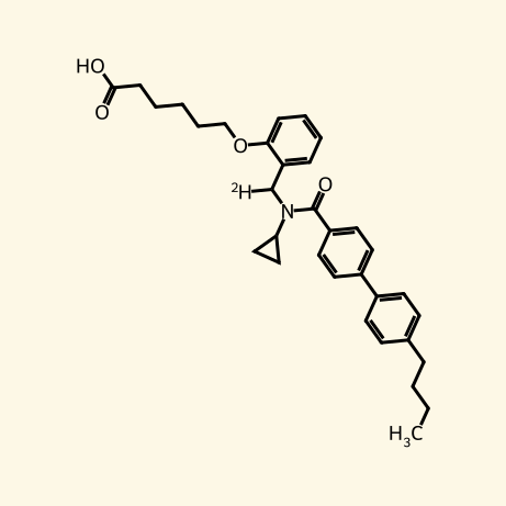 [2H]C(c1ccccc1OCCCCCC(=O)O)N(C(=O)c1ccc(-c2ccc(CCCC)cc2)cc1)C1CC1